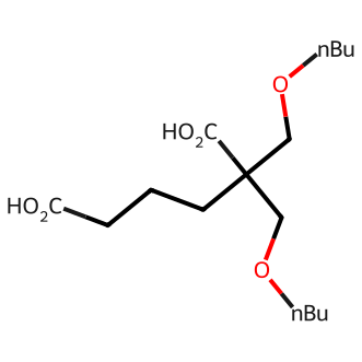 CCCCOCC(CCCC(=O)O)(COCCCC)C(=O)O